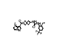 CCc1ccc(C(F)(F)F)cc1NC(=O)NC1CC2(C1)CN(C(=O)c1cnn3ccn(C)c13)C2